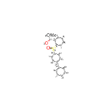 COC(=O)c1ccccc1[S+]([O-])c1ccc(-c2ccccc2)cc1